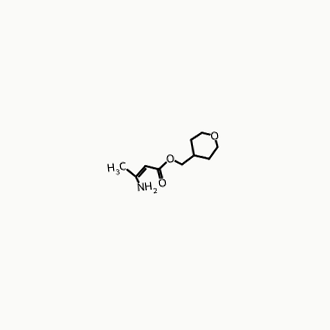 C/C(N)=C/C(=O)OCC1CCOCC1